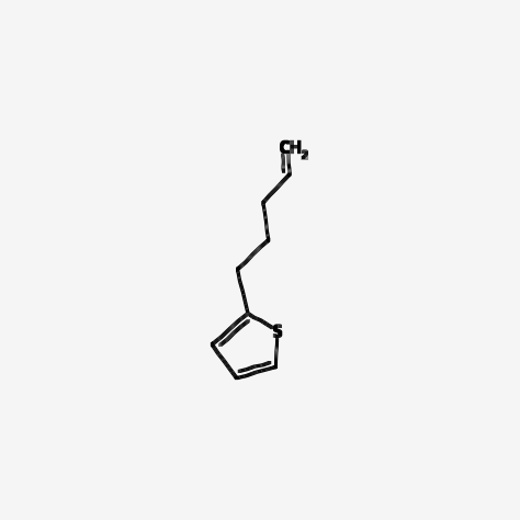 C=CCCCc1cccs1